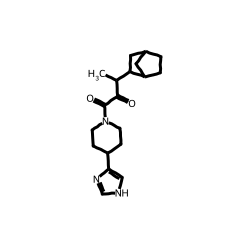 CC(C(=O)C(=O)N1CCC(c2c[nH]cn2)CC1)C1CC2CCC1C2